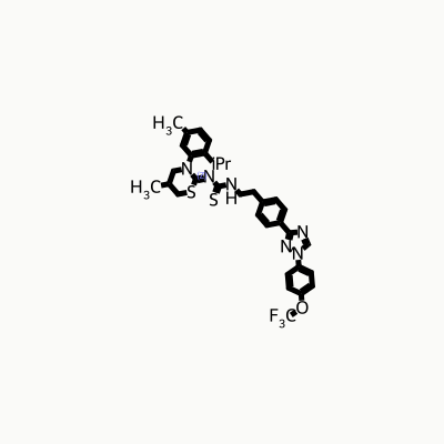 Cc1ccc(C(C)C)c(N2CC(C)CS/C2=N\C(=S)NCCc2ccc(-c3ncn(-c4ccc(OC(F)(F)F)cc4)n3)cc2)c1